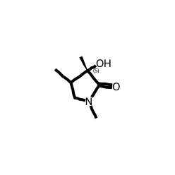 CC1CN(C)C(=O)[C@@]1(C)O